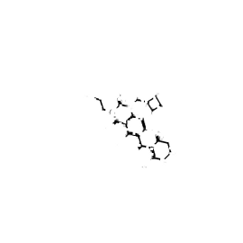 CCCn1c(=O)c2c(C)c(C(=O)C3=C(O)CCCC3=O)ccc2n(CC2CCC2)c1=O